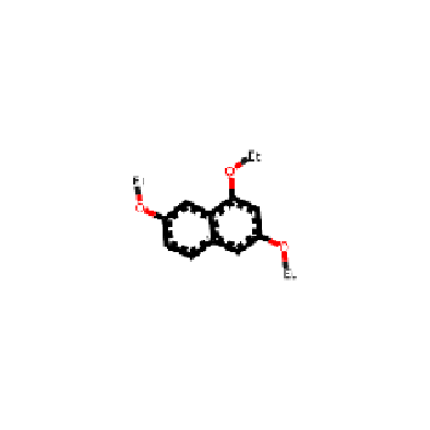 CCOc1cc(OCC)c2cc(OCC)c[c]c2c1